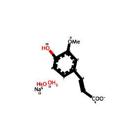 COc1cc(C=CC(=O)[O-])ccc1O.O.O.[Na+]